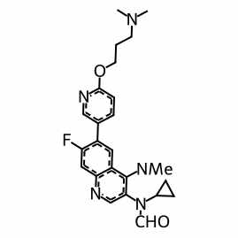 CNc1c(N(C=O)C2CC2)cnc2cc(F)c(-c3ccc(OCCCN(C)C)nc3)cc12